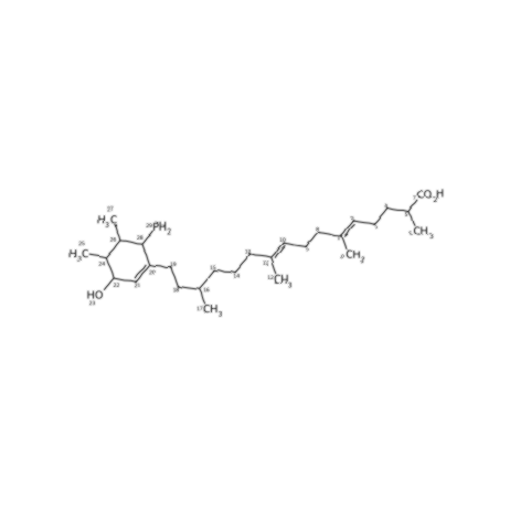 C/C(=C\CCC(C)C(=O)O)CC/C=C(\C)CCCC(C)CCC1=CC(O)C(C)C(C)C1P